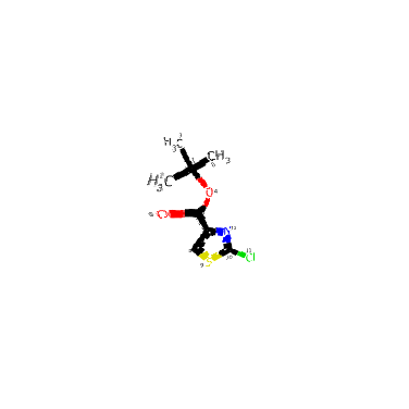 CC(C)(C)OC(=O)c1csc(Cl)n1